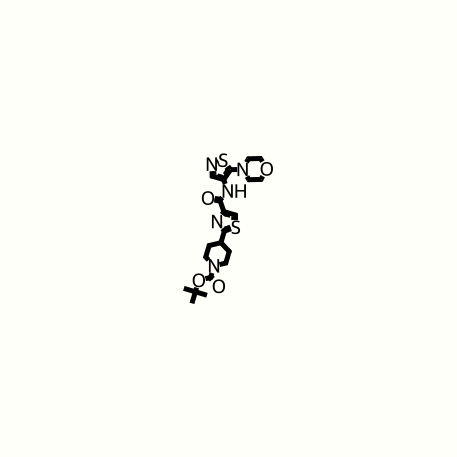 CC(C)(C)OC(=O)N1CCC(c2nc(C(=O)Nc3cnsc3N3CCOCC3)cs2)CC1